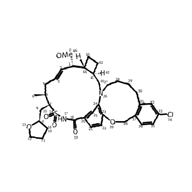 CO[C@H]1/C=C/C[C@H](C)[C@H](C[C@H]2CCCO2)S(=O)(=O)NC(=O)c2ccc3c(c2)N(CCCCc2cc(Cl)ccc2CO3)C[C@@H]2CC[C@H]21